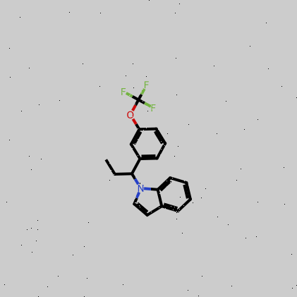 CCC(c1cccc(OC(F)(F)F)c1)n1ccc2ccccc21